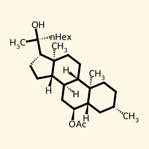 CCCCCC[C@](C)(O)[C@H]1CC[C@H]2[C@@H]3C[C@H](OC(C)=O)[C@H]4C[C@@H](C)CC[C@]4(C)[C@H]3CC[C@@]21C